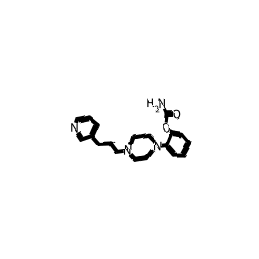 NC(=O)Oc1ccccc1N1CCN(C[CH]Cc2cccnc2)CC1